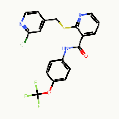 O=C(Nc1ccc(OC(F)(F)F)cc1)c1cccnc1SCc1ccnc(Cl)c1